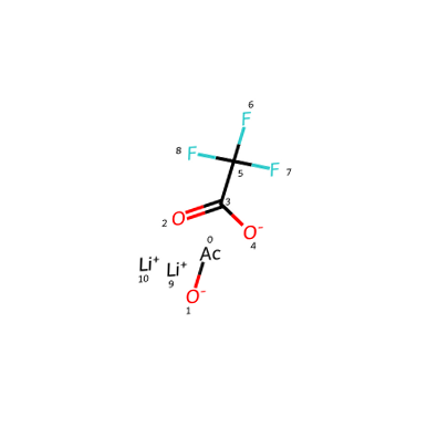 CC(=O)[O-].O=C([O-])C(F)(F)F.[Li+].[Li+]